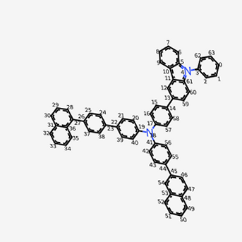 c1ccc(-n2c3ccccc3c3cc(-c4ccc(N(c5ccc(-c6ccc(-c7cccc8ccccc78)cc6)cc5)c5ccc(-c6ccc7ccccc7c6)cc5)cc4)ccc32)cc1